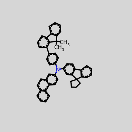 CC1(C)c2ccccc2-c2cccc(-c3ccc(N(c4ccc5c(c4)C4(CCCC4)c4ccccc4-5)c4ccc5c(ccc6ccccc65)c4)cc3)c21